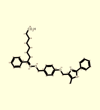 Cc1oc(-c2ccccc2)nc1COc1ccc(CO/N=C(\CCCCCCC(=O)O)c2ccccc2)cc1